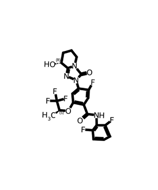 C[C@H](Oc1cc(-n2nc3n(c2=O)CCC[C@H]3O)c(F)cc1C(=O)Nc1c(F)cccc1F)C(F)(F)F